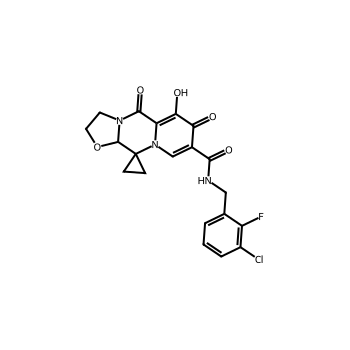 O=C(NCc1cccc(Cl)c1F)c1cn2c(c(O)c1=O)C(=O)N1CCOC1C21CC1